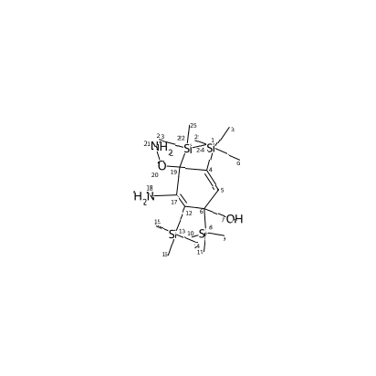 C[Si](C)(C)C1=CC(O)([Si](C)(C)C)C([Si](C)(C)C)=C(N)C1(ON)[Si](C)(C)C